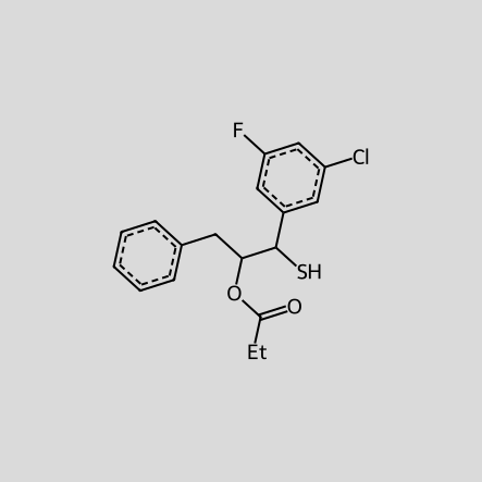 CCC(=O)OC(Cc1ccccc1)C(S)c1cc(F)cc(Cl)c1